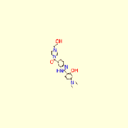 CCN(CC)c1ccc(-c2nc3ccc(C(=O)N4CCN(CCO)CC4)cc3[nH]2)c(O)c1